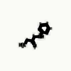 CCC(=O)CNc1ccccc1